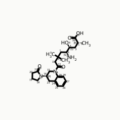 C[C@H](C[C@H](O)[C@@H](N)CC(C)(C)CC(=O)N1C[C@H](N2CCCC2=O)Cc2ccccc21)C(=O)O